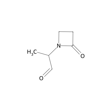 CC(C=O)N1CCC1=O